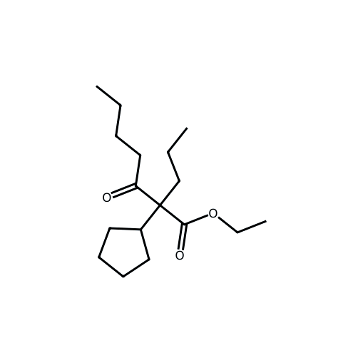 CCCCC(=O)C(CCC)(C(=O)OCC)C1CCCC1